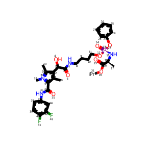 Cc1c(C(O)C(=O)NCCCCO[P@@](=O)(N[C@@H](C)C(=O)OC(C)C)Oc2ccccc2)c(C)n(C)c1C(=O)Nc1ccc(F)c(F)c1